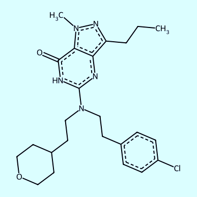 CCCc1nn(C)c2c(=O)[nH]c(N(CCc3ccc(Cl)cc3)CCC3CCOCC3)nc12